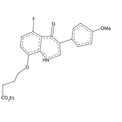 CCOC(=O)CCCOc1ccc(F)c2c(=O)c(-c3ccc(OC)cc3)c[nH]c12